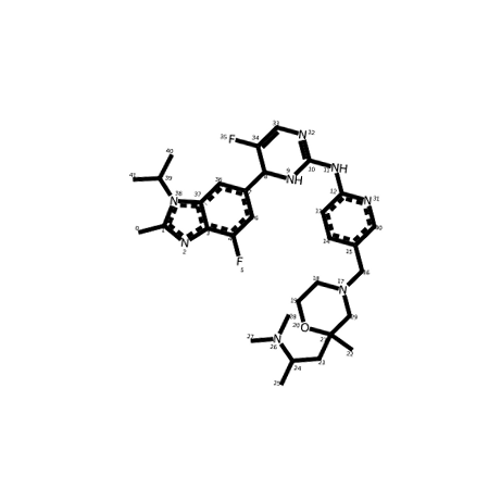 Cc1nc2c(F)cc(C3NC(Nc4ccc(CN5CCOC(C)(CC(C)N(C)C)C5)cn4)=NC=C3F)cc2n1C(C)C